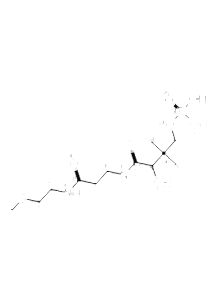 CSCCNC(=O)CCNC(=O)C(O)C(C)(C)COP(=O)(O)O